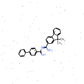 CC1(C)c2ccccc2-c2ccc(/C(N)=N/C(=N)c3ccc(-c4ccccc4)cc3)cc21